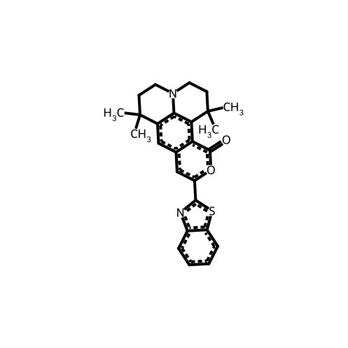 CC1(C)CCN2CCC(C)(C)c3c2c1cc1cc(-c2nc4ccccc4s2)oc(=O)c31